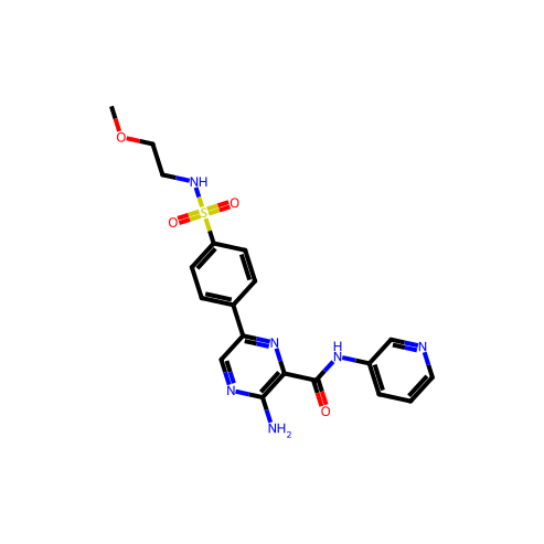 COCCNS(=O)(=O)c1ccc(-c2cnc(N)c(C(=O)Nc3cccnc3)n2)cc1